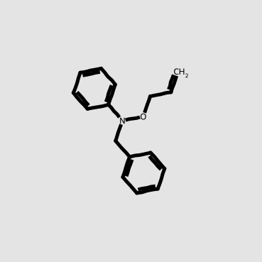 C=CCON(Cc1ccccc1)c1ccccc1